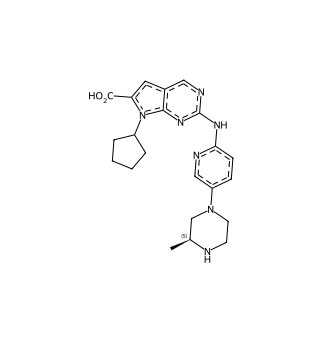 C[C@H]1CN(c2ccc(Nc3ncc4cc(C(=O)O)n(C5CCCC5)c4n3)nc2)CCN1